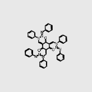 O=C1C(=CN(N=Nc2ccccc2)c2ccccc2)C(=O)C(=CN(N=Nc2ccccc2)c2ccccc2)C(=O)C1=CN(N=Nc1ccccc1)c1ccccc1